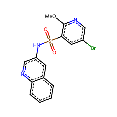 COc1ncc(Br)cc1S(=O)(=O)Nc1cnc2ccccc2c1